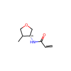 C=CC(=O)N[C@H]1COCC1C